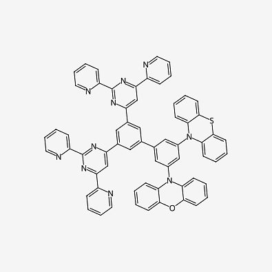 c1ccc(-c2cc(-c3cc(-c4cc(N5c6ccccc6Oc6ccccc65)cc(N5c6ccccc6Sc6ccccc65)c4)cc(-c4cc(-c5ccccn5)nc(-c5ccccn5)n4)c3)nc(-c3ccccn3)n2)nc1